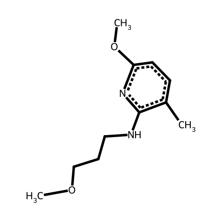 COCCCNc1nc(OC)ccc1C